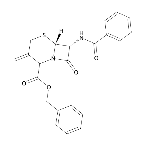 C=C1CS[C@@H]2[C@H](NC(=O)c3ccccc3)C(=O)N2C1C(=O)OCc1ccccc1